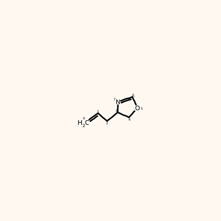 C=CCC1CO[C]=N1